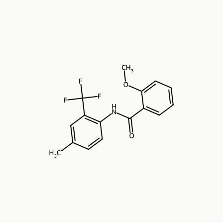 COc1ccccc1C(=O)Nc1ccc(C)cc1C(F)(F)F